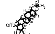 CC1(C)CC(C=O)[C@]2(C)CC[C@]3(C)C(=CC[C@@H]4[C@@]5(C)CCC6OC(C)(C)OC[C@@]6(C)C5CC[C@]43C)[C@H]2C1